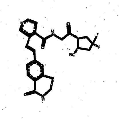 N#CC1CC(F)(F)CN1C(=O)CNC(=O)c1ccncc1/C=C/c1ccc2c(c1)CCNC2=O